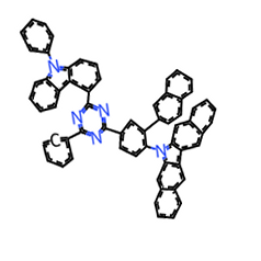 c1ccc(-c2nc(-c3ccc(-n4c5cc6ccccc6cc5c5cc6ccccc6cc54)c(-c4ccc5ccccc5c4)c3)nc(-c3cccc4c3c3ccccc3n4-c3ccccc3)n2)cc1